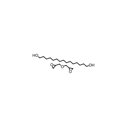 C(OCC1CO1)C1CO1.OCCCCCCCCCCCCCCCO